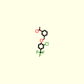 CC(=O)c1cccc(COc2ccc(C(F)(F)F)cc2Cl)c1